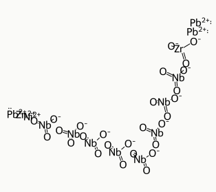 [Ni+2].[O]=[Nb](=[O])[O-].[O]=[Nb](=[O])[O-].[O]=[Nb](=[O])[O-].[O]=[Nb](=[O])[O-].[O]=[Nb](=[O])[O-].[O]=[Nb](=[O])[O-].[O]=[Nb](=[O])[O-].[O]=[Nb](=[O])[O-].[O]=[Zr]([O-])[O-].[Pb+2].[Pb+2].[Pb+2].[Zn+2]